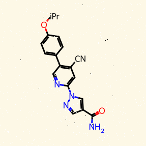 CC(C)Oc1ccc(-c2cnc(-n3cc(C(N)=O)cn3)cc2C#N)cc1